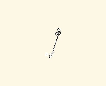 CCCCCCCCCC/C=C/CCC(=O)Oc1ccccc1